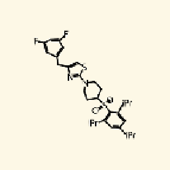 CC(C)c1cc(C(C)C)c(S(=O)(=O)C2CCN(c3nc(Cc4cc(F)cc(F)c4)cs3)CC2)c(C(C)C)c1